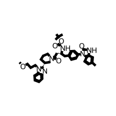 COCCCn1c([C@@H]2CCCN(C(=O)C[C@@H](Cc3ccc(-n4c(=O)[nH]c5cc(C)ccc54)cc3)NC(=O)OC(C)(C)C)C2)nc2ccccc21